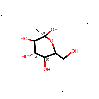 C[C@]1(O)OC(CO)[C@@H](O)[C@H](O)C1O